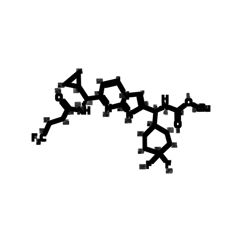 CC(C)(C)OC(=O)N[C@H](c1cn2ccc([C@H](NC(=O)CCC(F)(F)F)C3CC3)nc2n1)C1CCC(F)(F)CC1